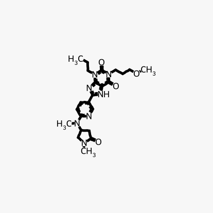 CCCn1c(=O)n(CCCOC)c(=O)c2[nH]c(-c3ccc(N(C)C4CC(=O)N(C)C4)nc3)nc21